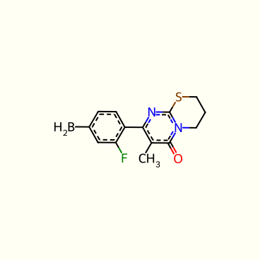 Bc1ccc(-c2nc3n(c(=O)c2C)CCCS3)c(F)c1